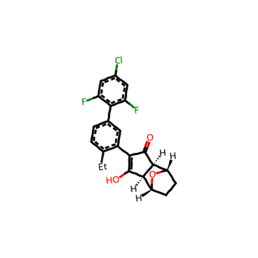 CCc1ccc(-c2c(F)cc(Cl)cc2F)cc1C1=C(O)[C@H]2[C@@H](C1=O)[C@@H]1CC[C@H]2O1